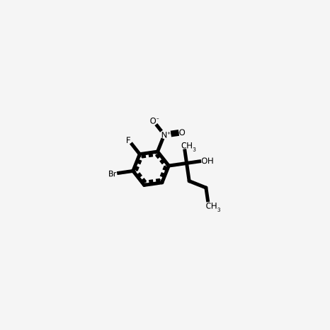 CCCC(C)(O)c1ccc(Br)c(F)c1[N+](=O)[O-]